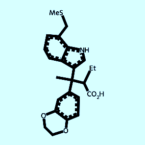 CCC(C(=O)O)C(C)(c1ccc2c(c1)OCCO2)c1c[nH]c2c(CSC)cccc12